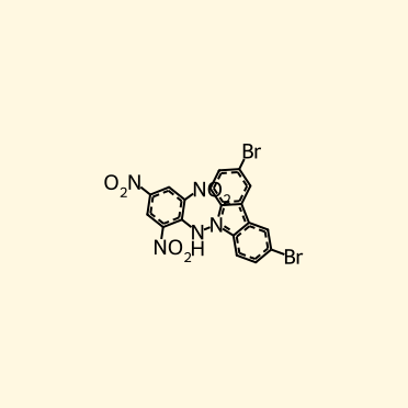 O=[N+]([O-])c1cc([N+](=O)[O-])c(Nn2c3ccc(Br)cc3c3cc(Br)ccc32)c([N+](=O)[O-])c1